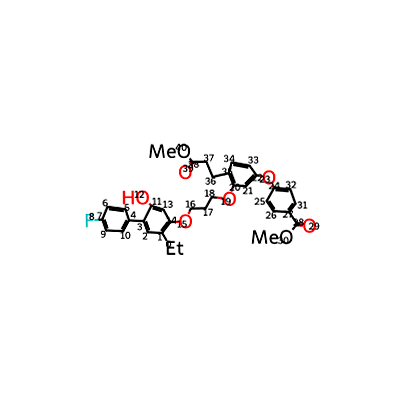 CCc1cc(-c2ccc(F)cc2)c(O)cc1OCCCOc1cc(Oc2ccc(C(=O)OC)cc2)ccc1CCC(=O)OC